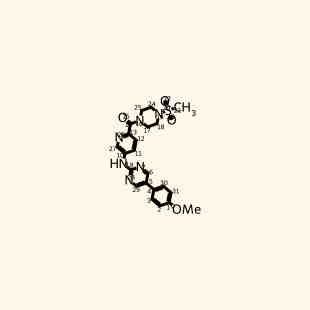 COc1ccc(-c2cnc(Nc3ccc(C(=O)N4CCN(S(C)(=O)=O)CC4)nc3)nc2)cc1